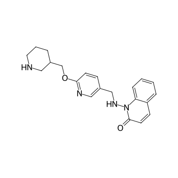 O=c1ccc2ccccc2n1NCc1ccc(OCC2CCCNC2)nc1